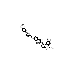 Cc1ccc(OC(C)(C)C)c(N2C(=O)CS/C2=N\C(O)Nc2ccc(CCc3ncn(-c4ccc(OC(F)(F)F)cc4)n3)cc2)c1